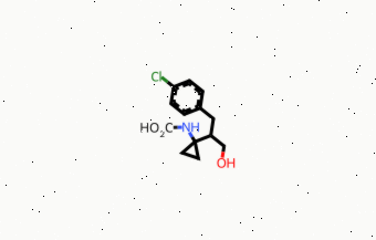 O=C(O)NC1(C(CO)Cc2ccc(Cl)cc2)CC1